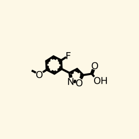 COc1ccc(F)c(-c2cc(C(=O)O)on2)c1